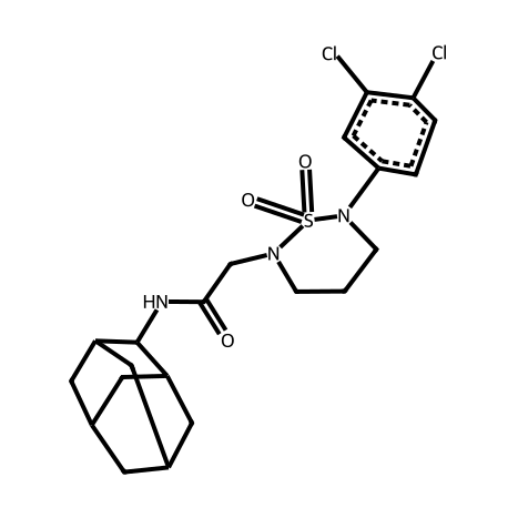 O=C(CN1CCCN(c2ccc(Cl)c(Cl)c2)S1(=O)=O)NC1C2CC3CC(C2)CC1C3